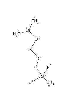 CB(C)OCCC[Si](C)(F)F